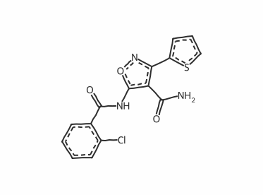 NC(=O)c1c(-c2cccs2)noc1NC(=O)c1ccccc1Cl